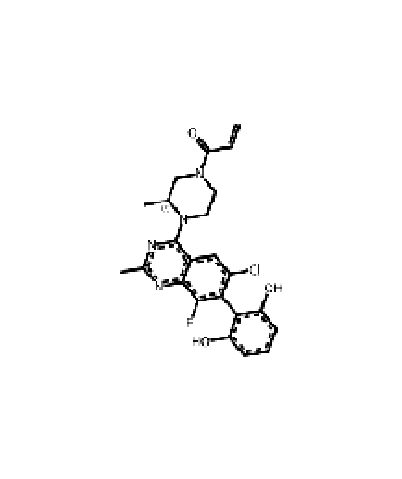 C=CC(=O)N1CCN(c2nc(C)nc3c(F)c(-c4c(O)cccc4O)c(Cl)cc23)[C@@H](C)C1